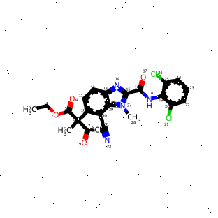 CCOC(=O)C(C)(C(C)=O)c1ccc2nc(C(=O)Nc3c(Cl)cccc3Cl)n(C)c2c1C#N